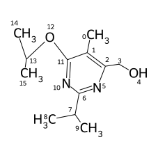 Cc1c(CO)nc(C(C)C)nc1OC(C)C